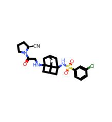 N#C[C@@H]1CCCN1C(=O)CNC12CC3CC4(NS(=O)(=O)c5cccc(Cl)c5)CC(C1)C24C3